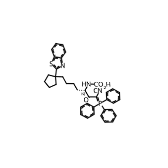 N#CC(C(=O)[C@H](CCCCC1(c2nc3ccccc3s2)CCCC1)NC(=O)O)=P(c1ccccc1)(c1ccccc1)c1ccccc1